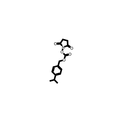 CC(C)c1ccc(COC(=O)ON2C(=O)CCC2=O)cc1